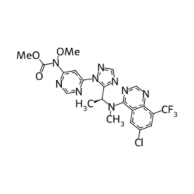 COC(=O)N(OC)c1cc(-n2ncnc2[C@H](C)N(C)c2ncnc3c(C(F)(F)F)cc(Cl)cc23)ncn1